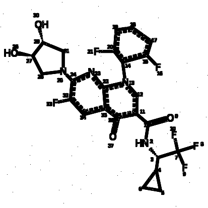 O=C(N[C@@H](C1CC1)C(F)(F)F)c1cn(-c2c(F)cccc2F)c2nc(N3C[C@@H](O)[C@H](O)C3)c(F)cc2c1=O